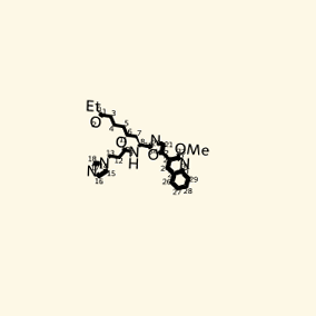 CCC(=O)CCCCC[C@H](NC(=O)CCn1ccnc1)c1ncc(-c2cc3ccccc3nc2OC)o1